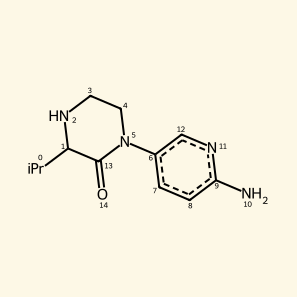 CC(C)C1NCCN(c2ccc(N)nc2)C1=O